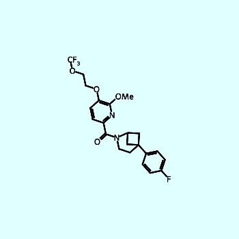 COc1nc(C(=O)N2CCC3(c4ccc(F)cc4)CC2C3)ccc1OCCOC(F)(F)F